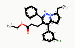 CCOC(=O)CCc1c(-c2ccccc2)nn2c(CC)ccc2c1-c1cccc(Cl)c1